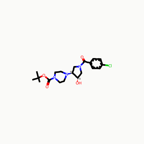 CC(C)(C)OC(=O)N1CCN([C@H]2CN(C(=O)c3ccc(Cl)cc3)C[C@@H]2O)CC1